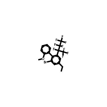 CCc1[c]c(Br)c(-c2ccccc2OC)c(C(F)(C(F)(F)F)C(F)(F)C(F)(F)F)c1